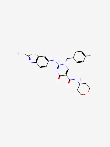 Cc1nc2ccc(Nc3nc(=O)c(C(=O)NC4CCOCC4)cn3CC3C=CC(Cl)=CC3)cc2s1